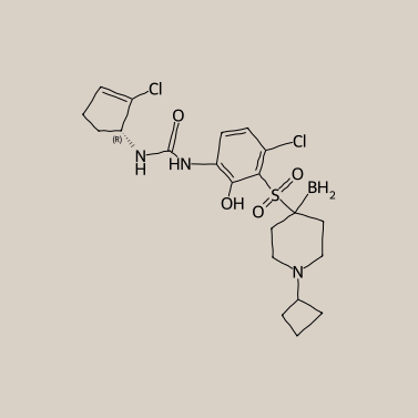 BC1(S(=O)(=O)c2c(Cl)ccc(NC(=O)N[C@@H]3CCC=C3Cl)c2O)CCN(C2CCC2)CC1